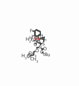 CC(C)(C)OC(=O)N(COCC[Si](C)(C)C)C1=N[C@](C)(c2cccc(F)c2F)[C@@H]2C[C@@]2(COS(C)(=O)=O)S1